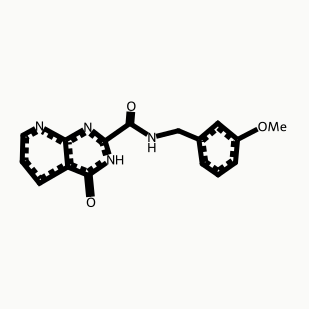 COc1cccc(CNC(=O)c2nc3ncccc3c(=O)[nH]2)c1